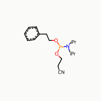 CC(C)N(C(C)C)P(OCCC#N)OCCc1ccccc1